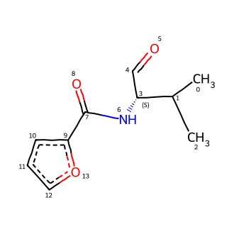 CC(C)[C@@H](C=O)NC(=O)c1ccco1